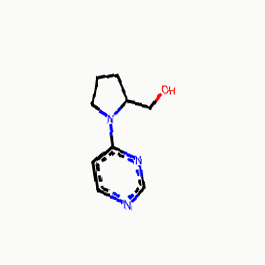 OCC1CCCN1c1ccncn1